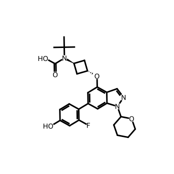 CC(C)(C)N(C(=O)O)[C@H]1C[C@H](Oc2cc(-c3ccc(O)cc3F)cc3c2cnn3C2CCCCO2)C1